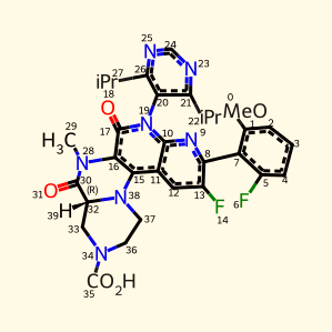 COc1cccc(F)c1-c1nc2c(cc1F)c1c(c(=O)n2-c2c(C(C)C)ncnc2C(C)C)N(C)C(=O)[C@H]2CN(C(=O)O)CCN12